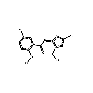 CCOc1ccc(Cl)cc1C(=O)N=c1sc(C(C)(C)C)cn1CC(C)C